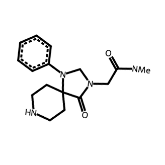 CNC(=O)CN1CN(c2ccccc2)C2(CCNCC2)C1=O